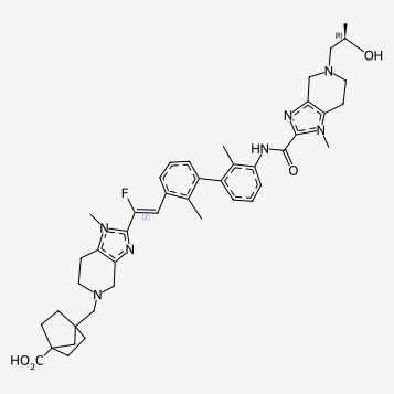 Cc1c(/C=C(\F)c2nc3c(n2C)CCN(CC24CCC(C(=O)O)(CC2)C4)C3)cccc1-c1cccc(NC(=O)c2nc3c(n2C)CCN(C[C@@H](C)O)C3)c1C